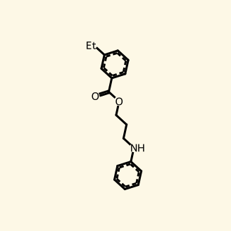 CCc1cccc(C(=O)OCCCNc2ccccc2)c1